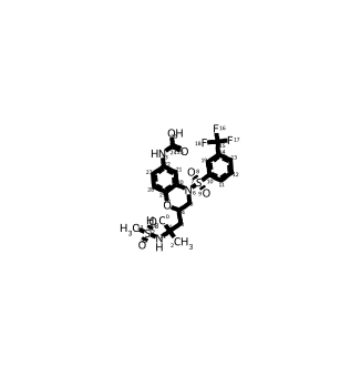 CC(C)(CC1CN(S(=O)(=O)c2cccc(C(F)(F)F)c2)c2cc(NC(=O)O)ccc2O1)NS(C)(=O)=O